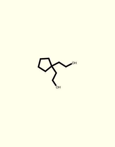 OCCC1(CCO)CCCC1